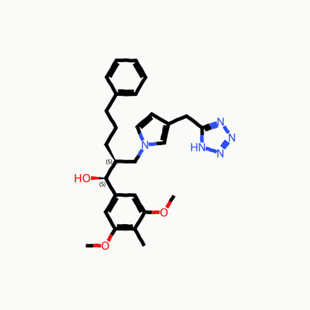 COc1cc([C@@H](O)[C@@H](CCCc2ccccc2)Cn2ccc(Cc3nnn[nH]3)c2)cc(OC)c1C